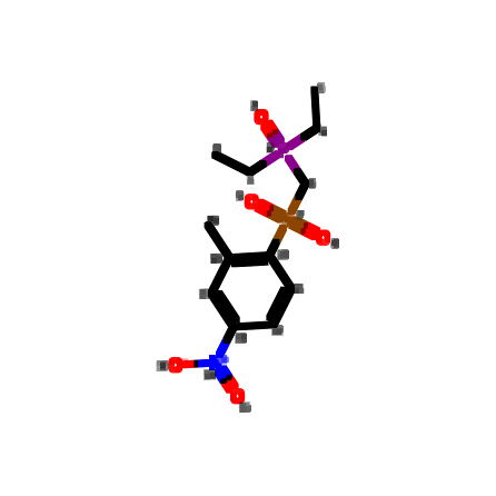 CCP(=O)(CC)CS(=O)(=O)c1ccc([N+](=O)[O-])cc1C